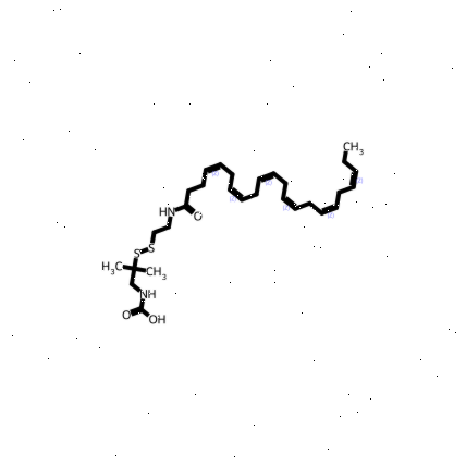 CC/C=C\C/C=C\C/C=C\C/C=C\C/C=C\C/C=C\CCC(=O)NCCSSC(C)(C)CNC(=O)O